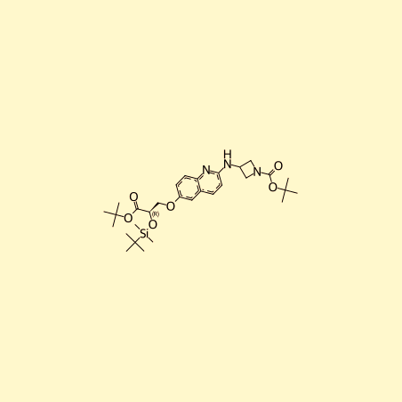 CC(C)(C)OC(=O)[C@@H](COc1ccc2nc(NC3CN(C(=O)OC(C)(C)C)C3)ccc2c1)O[Si](C)(C)C(C)(C)C